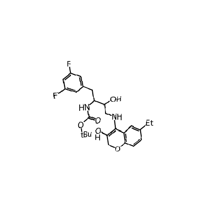 CCc1ccc2c(c1)C(NCC(O)C(Cc1cc(F)cc(F)c1)NC(=O)OC(C)(C)C)=C(O)CO2